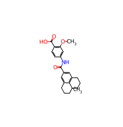 COc1cc(NC(=O)c2cc3c4c(c2)CCCC4(C)CCC3)ccc1C(=O)O